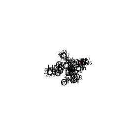 O=C1CCC(N2C(=O)c3cc(F)c(CN4C5CCC4CN(CC[C@H](CSc4ccccc4)Nc4ccc(S(=O)(=O)NC(=O)c6ccccc6)cc4S(=O)(=O)C(F)(F)F)C5)cc3C2=O)C(=O)N1